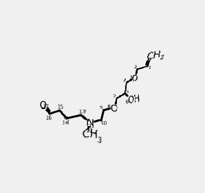 C=CCOCC(O)COCCN(C)CCCC=O